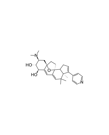 CN(C)[C@H]1C[C@@]23CC[C@@]4(O2)C(=CC(C)(C)[C@]2(C)C(c5ccncc5)=CCC42)C=C3[C@@H](O)[C@@H]1O